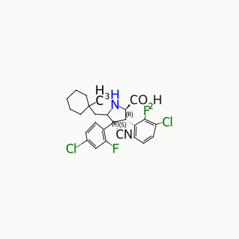 CC1(CC2N[C@@H](C(=O)O)[C@H](c3cccc(Cl)c3F)[C@@]2(C#N)c2ccc(Cl)cc2F)CCCCC1